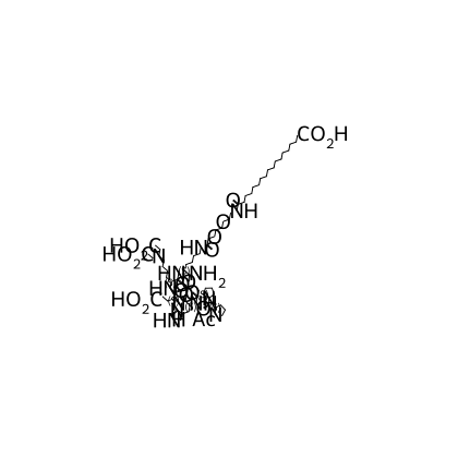 CC(=O)N1CCC[C@H]1C(=O)N1CCC[C@H]1C(=O)N[C@@H](Cc1c[nH]cn1)C(=O)N[C@@H](CCC(=O)O)C(=O)N[C@@H](CCCCN(CC(=O)O)CC(=O)O)C(=O)N[C@@H](CCCCNC(=O)COCCOCCNC(=O)CCCCCCCCCCCCCCCCC(=O)O)C(N)=O